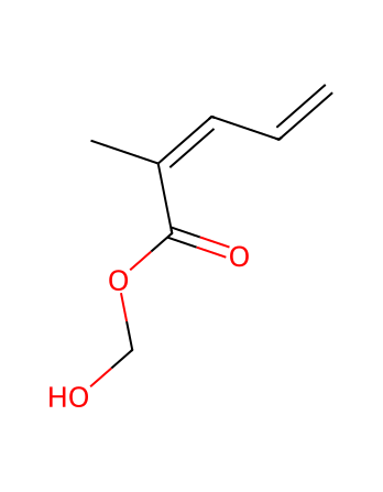 C=CC=C(C)C(=O)OCO